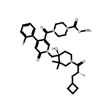 C[C@H](CC1CCC1)C(=O)N1CC[C@@](O)(Cn2cc(C(=O)N3CCN(C(=O)OC(C)(C)C)CC3)c(-c3ccccc3F)cc2=O)C(C)(C)C1